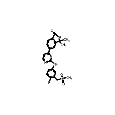 CC1(C)NC(=O)c2ccc(-c3ccnc(Nc4ccc(F)c(CS(C)(=O)=O)c4)n3)cc21